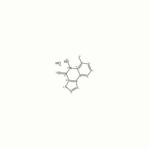 Cc1cccc2c3ccsc3c(=O)n(O)c12.Cl